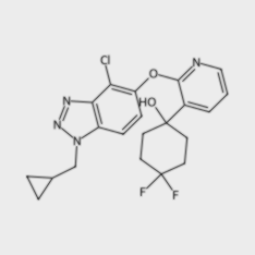 OC1(c2cccnc2Oc2ccc3c(nnn3CC3CC3)c2Cl)CCC(F)(F)CC1